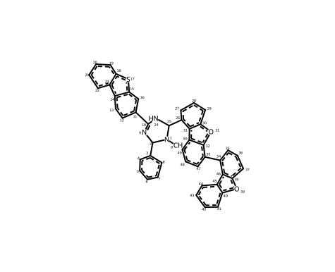 CN1C(c2ccccc2)N=C(c2ccc3c(c2)sc2ccccc23)NC1c1cccc2oc3c(-c4cccc5oc6ccccc6c45)cccc3c12